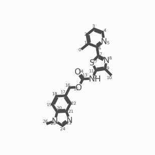 Cc1cccnc1-c1nc(C)c(NC(=O)OCc2ccc3c(c2)ncn3C)s1